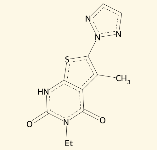 CCn1c(=O)[nH]c2sc(-n3nccn3)c(C)c2c1=O